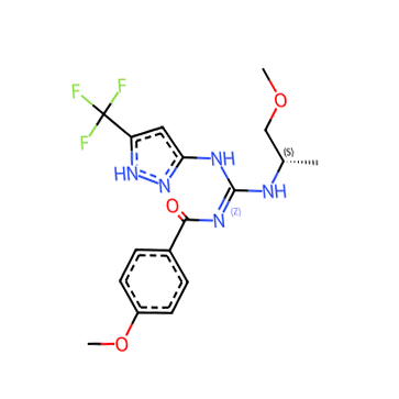 COC[C@H](C)N/C(=N/C(=O)c1ccc(OC)cc1)Nc1cc(C(F)(F)F)[nH]n1